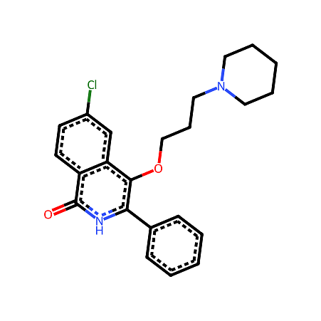 O=c1[nH]c(-c2ccccc2)c(OCCCN2CCCCC2)c2cc(Cl)ccc12